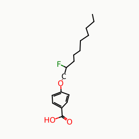 CCCCCCCCC(F)COc1ccc(C(=O)O)cc1